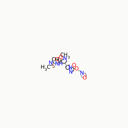 COc1ncc(-c2ccc3ncc(OCCN4CCOCC4)c(=O)n3c2)cc1[S+]([O-])Nc1sc(C)nc1C